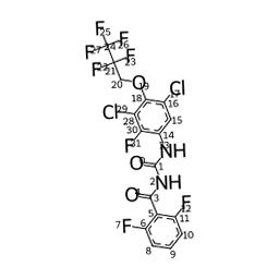 O=C(NC(=O)c1c(F)cccc1F)Nc1cc(Cl)c(OCC(F)(F)C(F)(F)F)c(Cl)c1F